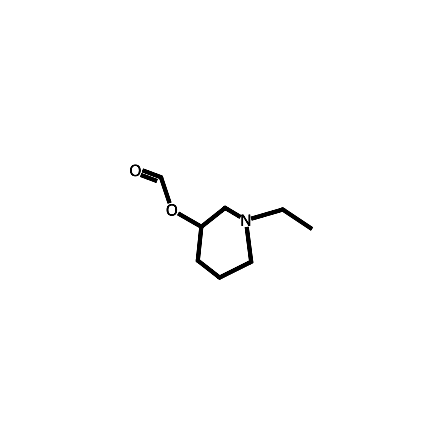 CCN1CCCC(OC=O)C1